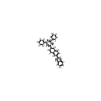 c1ccc(-c2nc(-c3ccccc3)nc(-c3ccc4cc(-c5nc6ccccc6s5)ccc4c3)n2)cc1